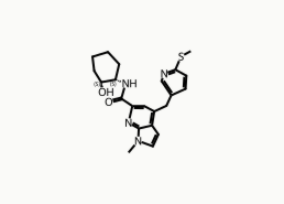 CSc1ccc(Cc2cc(C(=O)N[C@H]3CCCC[C@@H]3O)nc3c2ccn3C)cn1